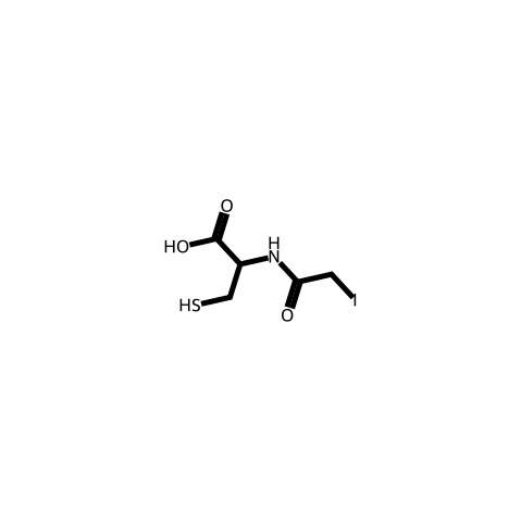 O=C(CI)NC(CS)C(=O)O